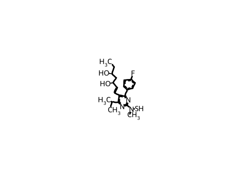 CC[C@H](O)C[C@H](O)/C=C/c1c(-c2ccc(F)cc2)nc(N(C)S)nc1C(C)C